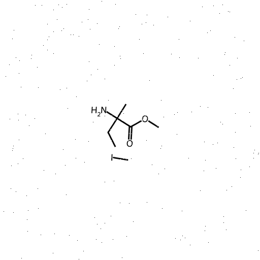 CCC(C)(N)C(=O)OC.CI